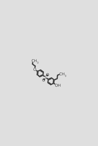 CCCOc1ccc(S(=O)(=O)c2ccc(O)c(CCC)c2)cc1